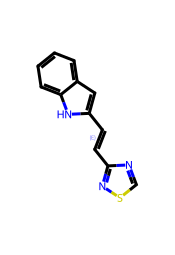 C(=C\c1cc2ccccc2[nH]1)/c1ncsn1